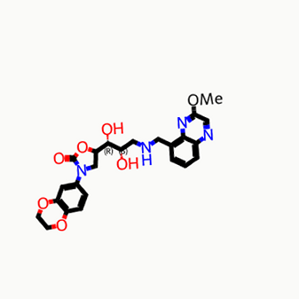 COc1cnc2cccc(CNC[C@H](O)[C@@H](O)C3CN(c4ccc5c(c4)OCCO5)C(=O)O3)c2n1